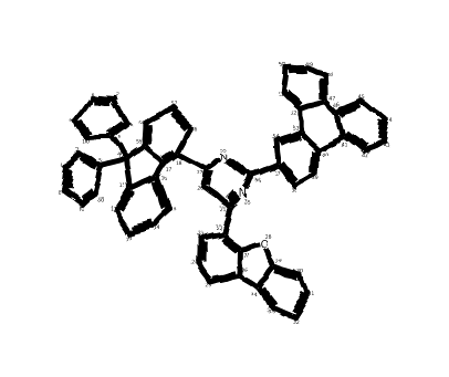 c1ccc(C2(c3ccccc3)c3ccccc3-c3c(-c4cc(-c5cccc6c5oc5ccccc56)nc(-c5ccc6c7ccccc7c7ccccc7c6c5)n4)cccc32)cc1